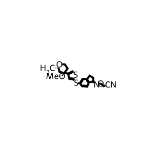 CO[C@]1(c2csc(Sc3ccc4c(c3)CC/C4=N\OCC#N)c2)CCO[C@@H](C)C1